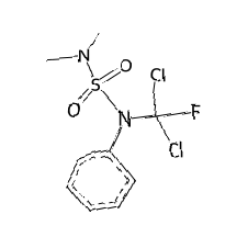 CN(C)S(=O)(=O)N(c1ccccc1)C(F)(Cl)Cl